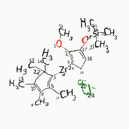 COC1=[C]([Zr+2][C]2=C(C)C(C)=C(C)C2(C)C)CC=C1O[Si](C)(C)C.[Cl-].[Cl-]